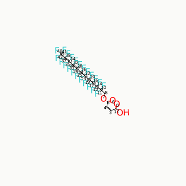 O=C(O)/C=C\C(=O)OCC(F)(F)C(F)(F)C(F)(F)C(F)(F)C(F)(F)C(F)(F)C(F)(F)C(F)(F)C(F)(F)C(F)(F)C(F)(F)F